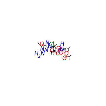 CCOc1nc(N)nc2c1ncn2[C@@H]1O[C@@H]2CO[P@](=O)(N[C@@H](COC(=O)C(C)C)CC(C)C)OC2[C@@]1(C)Cl